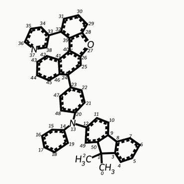 CC1(C)c2ccccc2-c2ccc(N(c3ccccc3)c3ccc(-c4cc5oc6cccc(-c7cccnc7)c6c5c5ccccc45)cc3)cc21